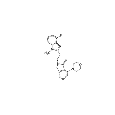 Cn1c(CCN2Cc3cccc(N4CCOCC4)c3C2=O)nc2c(F)cccc21